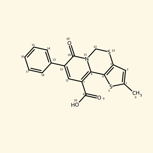 Cc1cc2c(s1)-c1c(C(=O)O)cc(-c3ccccc3)c(=O)n1CS2